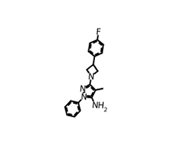 Cc1c(N2CC(c3ccc(F)cc3)C2)nn(-c2ccccc2)c1N